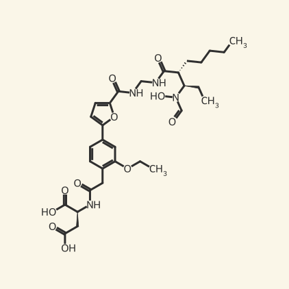 CCCCC[C@@H](C(=O)NCNC(=O)c1ccc(-c2ccc(CC(=O)N[C@@H](CC(=O)O)C(=O)O)c(OCC)c2)o1)[C@@H](CC)N(O)C=O